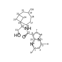 Cc1cc(C)n2ccc(C(=O)NC(CO)C34CCCC(C)CC(C3)C4)c2n1